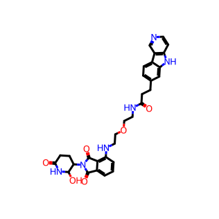 O=C(CCc1ccc2c(c1)[nH]c1ccncc12)NCCOCCNc1cccc2c1C(=O)N(C1CCC(=O)NC1O)C2=O